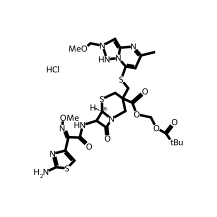 COCN1C=C2N=C(C)C=C(SCC3(C(=O)OCOC(=O)C(C)(C)C)CS[C@@H]4C(NC(=O)C(=NOC)c5csc(N)n5)C(=O)N4C3)N2N1.Cl